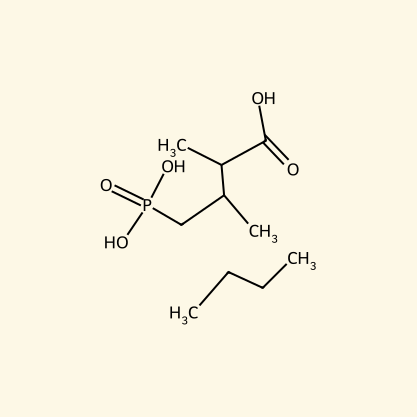 CC(CP(=O)(O)O)C(C)C(=O)O.CCCC